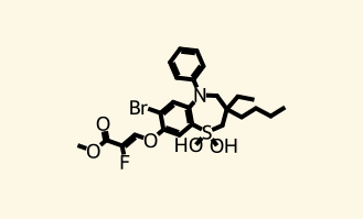 CCCCC1(CC)CN(c2ccccc2)c2cc(Br)c(O/C=C(\F)C(=O)OC)cc2S(O)(O)C1